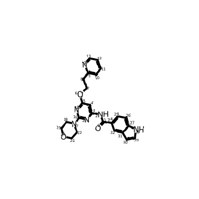 O=C(Nc1cc(OCCc2ccccn2)nc(N2CCOCC2)n1)c1ccc2[nH]ccc2c1